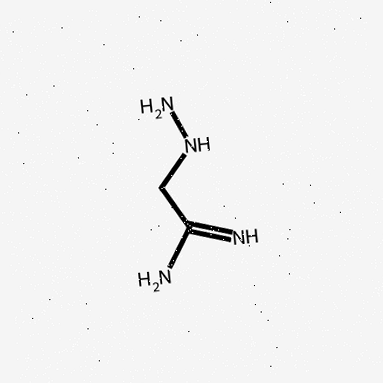 N=C(N)CNN